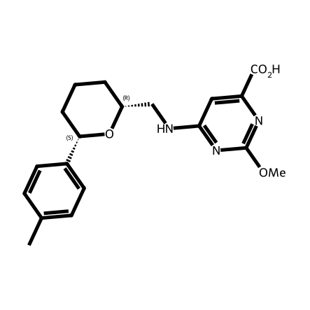 COc1nc(NC[C@H]2CCC[C@@H](c3ccc(C)cc3)O2)cc(C(=O)O)n1